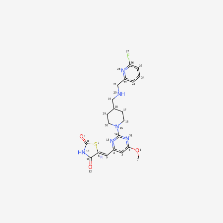 COc1cc(/C=C2\SC(=O)NC2=O)nc(N2CCC(CNCc3cccc(F)n3)CC2)n1